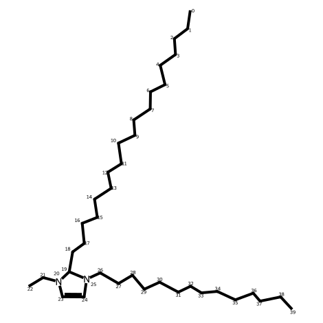 CCCCCCCCCCCCCCCCCCCC1N(CC)C=CN1CCCCCCCCCCCCCC